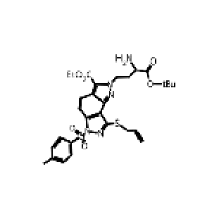 C=CCSc1nn(S(=O)(=O)c2ccc(C)cc2)c2c1-c1nn(CCC(N)C(=O)OC(C)(C)C)c(C(=O)OCC)c1CC2